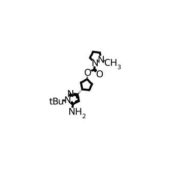 CN1CCCN1C(=O)O[C@@H]1CC[C@H](c2cc(N)n(C(C)(C)C)n2)C1